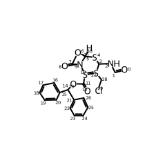 O=CNC1S[C@H]2OC(=O)N2S(C(=O)OC(c2ccccc2)c2ccccc2)=S1CCl